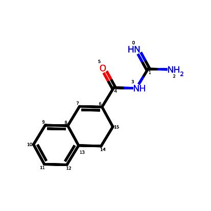 N=C(N)NC(=O)C1=Cc2ccccc2CC1